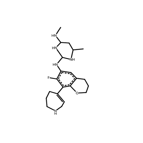 CNC1CC(C)NC(Nc2cc3c(c(C4=CCNCCC4)c2F)OCCC3)N1